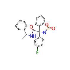 CC(NC(=O)C(N=S(=O)=O)(c1ccccc1)c1ccc(F)cc1)c1ccccc1